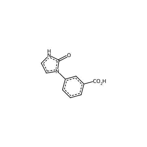 O=C(O)c1cccc(-n2cc[nH]c2=O)c1